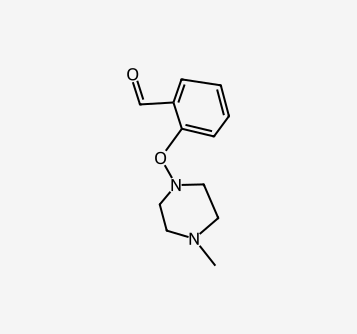 CN1CCN(Oc2ccccc2C=O)CC1